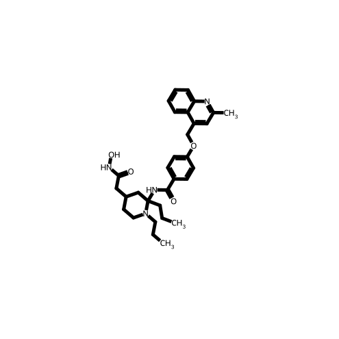 CCCN1CCC(CC(=O)NO)CC1(CCC)NC(=O)c1ccc(OCc2cc(C)nc3ccccc23)cc1